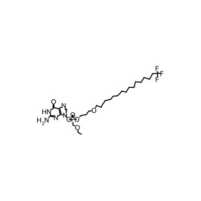 CCOCP(=O)(OCCCOCCCCCCCCCCCCCCCC(F)(F)F)On1cnc2c(=O)[nH]c(N)nc21